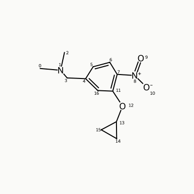 CN(C)Cc1ccc([N+](=O)[O-])c(OC2CC2)c1